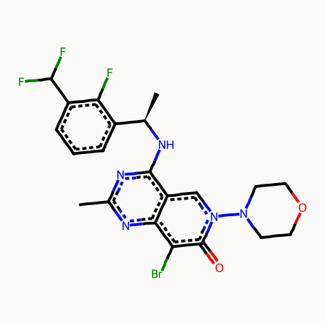 Cc1nc(N[C@H](C)c2cccc(C(F)F)c2F)c2cn(N3CCOCC3)c(=O)c(Br)c2n1